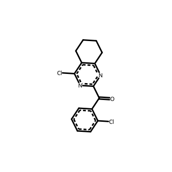 O=C(c1nc(Cl)c2c(n1)CCCC2)c1ccccc1Cl